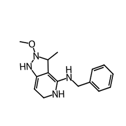 CON1NC2=CCNC(NCc3ccccc3)=C2C1C